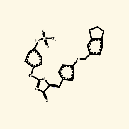 O=C1N=C(Nc2ccc(NS(=O)(=O)C(F)(F)F)cc2)S/C1=C\c1ccc(OCc2ccc3c(c2)CCC3)cc1